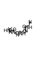 Cc1[nH]nc(C(=O)Nc2cnc3[nH]c(-c4ccnc(C(=O)NCCC#N)c4)cc3c2)c1C